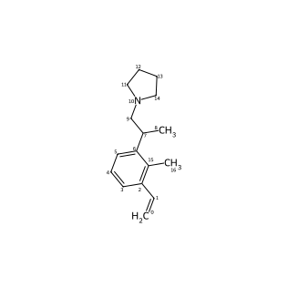 C=Cc1cccc(C(C)CN2CCCC2)c1C